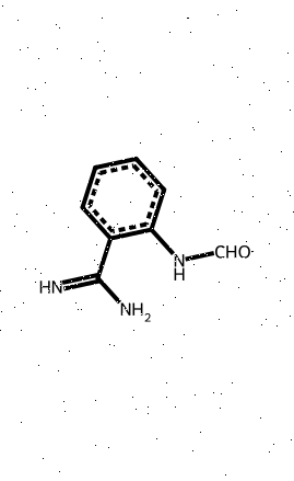 N=C(N)c1ccccc1N[C]=O